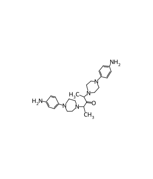 CC(C(=O)C(C)N1CCN(c2ccc(N)cc2)CC1)N1CCN(c2ccc(N)cc2)CC1